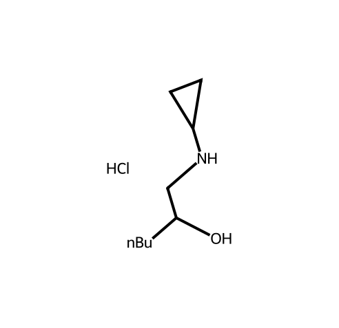 CCCCC(O)CNC1CC1.Cl